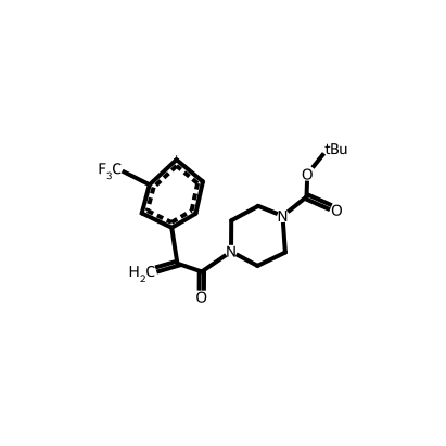 C=C(C(=O)N1CCN(C(=O)OC(C)(C)C)CC1)c1cc[c]c(C(F)(F)F)c1